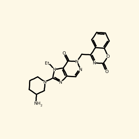 CCn1c(N2CCCC(N)C2)nc2cnn(Cc3nc(=O)oc4ccccc34)c(=O)c21